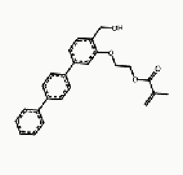 C=C(C)C(=O)OCCOc1cc(-c2ccc(-c3ccccc3)cc2)ccc1CO